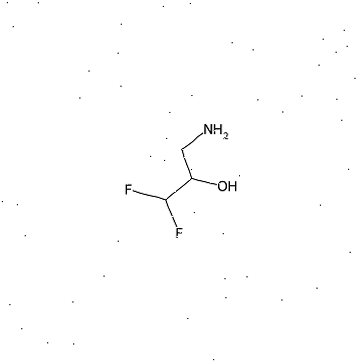 NCC(O)C(F)F